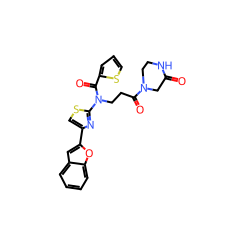 O=C1CN(C(=O)CCN(C(=O)c2cccs2)c2nc(-c3cc4ccccc4o3)cs2)CCN1